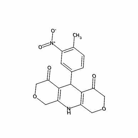 Cc1ccc(C2C3=C(COCC3=O)NC3=C2C(=O)COC3)cc1[N+](=O)[O-]